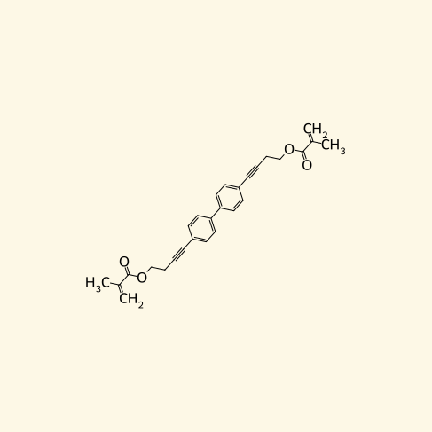 C=C(C)C(=O)OCCC#Cc1ccc(-c2ccc(C#CCCOC(=O)C(=C)C)cc2)cc1